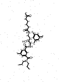 CCCN(CCC)C(=O)c1cc(C)cc(C(=O)N[C@@H](Cc2cc(F)cc(F)c2)[C@H](O)CCNC(=O)CCCCC(C)=O)c1